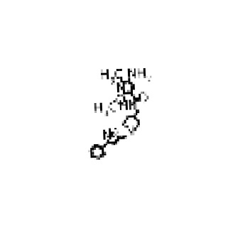 CCOc1nc(C)c(N)cc1C(=O)NCC1CCN(Cc2cc(-c3ccccc3)no2)CC1